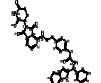 O=C1CCC(N2C(=O)c3cccc(NCCc4ccc(CC(=O)NC(c5cccnc5)c5cc6ccccc6o5)cc4)c3C2=O)C(=O)N1